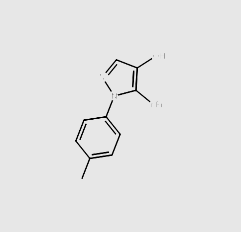 CCCc1c(O)cnn1-c1ccc(C)cc1